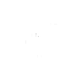 CCCCCCNC(CC)CCCCCC